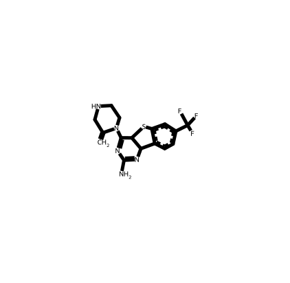 C=C1CNCCN1C1=NC(N)=NC2c3ccc(C(F)(F)F)cc3SC12